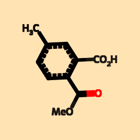 COC(=O)c1ccc(C)cc1C(=O)O